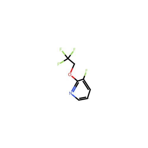 Fc1c[c]cnc1OCC(F)(F)F